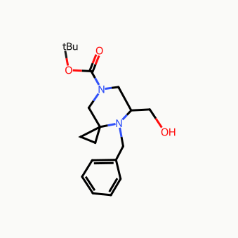 CC(C)(C)OC(=O)N1CC(CO)N(Cc2ccccc2)C2(CC2)C1